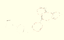 c1cnc2c(c1)c(-c1ccc(OC3CCN(C4CCCC4)CC3)cc1)nn1cnnc21